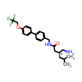 CC(C)C[C@H](CN)CC(=O)NCc1ccc(-c2ccc(OCC(F)(F)F)cc2)cc1